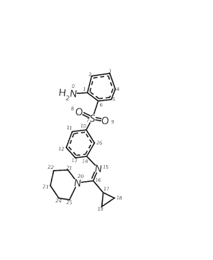 Nc1ccccc1S(=O)(=O)c1cccc(N=C(C2CC2)N2CCCCC2)c1